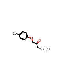 CCOC(=O)CC(=O)COc1ccc(CC)cc1